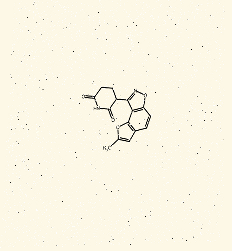 Cc1cc2ccc3onc(C4CCC(=O)NC4=O)c3c2o1